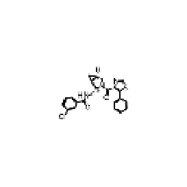 O=C(NC[C@@H]1C2C[C@H]2CN1C(=O)c1ncsc1-c1ccccc1)c1cccc(Cl)c1